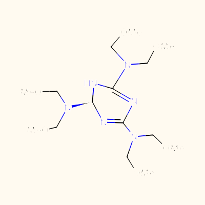 COCN(COC)C1=N[C@@H](N(COC)COC)NC(N(COC)COC)=N1